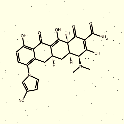 CN(C)[C@@H]1C(O)=C(C(N)=O)C(=O)[C@]2(O)C(O)=C3C(=O)c4c(O)ccc(-n5ccc(C#N)c5)c4C[C@@H]3C[C@H]12